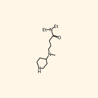 CCN(CC)C(=O)CCCN(C)C1CCNCC1